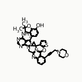 CC1(C)Cc2c(-c3nn(Cc4nc5cccc(C#CCN6CCOCC6)c5c(=O)n4C4(c5ccsc5)CC4)c4ncnc(N)c34)ccc(O)c2O1